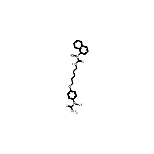 NC(=O)N(S)c1ccc(OCCCCCNC(=O)N(S)c2cccc3ccccc23)cc1